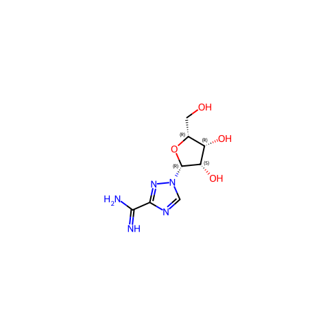 N=C(N)c1ncn([C@@H]2O[C@H](CO)[C@H](O)[C@@H]2O)n1